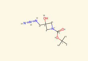 CC(C)(C)OC(=O)N1CC(O)(CN=[N+]=[N-])C1